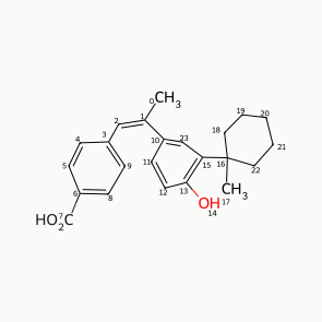 CC(=Cc1ccc(C(=O)O)cc1)c1ccc(O)c(C2(C)CCCCC2)c1